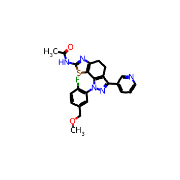 COCc1ccc(F)c(-n2nc(-c3cccnc3)c3c2-c2sc(NC(C)=O)nc2CC3)c1